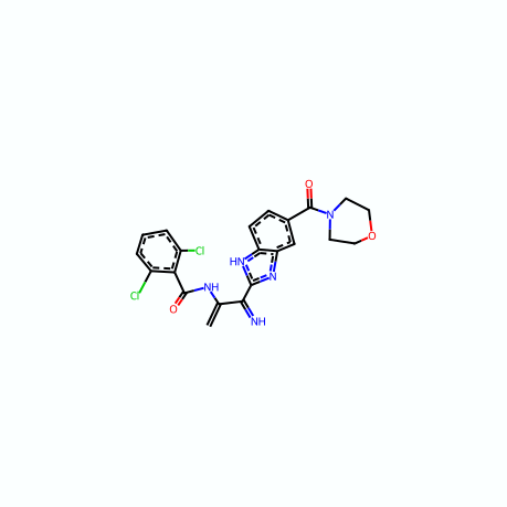 C=C(NC(=O)c1c(Cl)cccc1Cl)C(=N)c1nc2cc(C(=O)N3CCOCC3)ccc2[nH]1